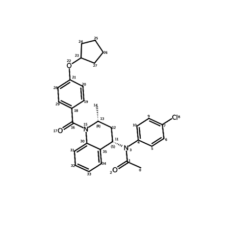 CC(=O)N(c1ccc(Cl)cc1)[C@H]1C[C@@H](C)N(C(=O)c2ccc(OC3CCCC3)cc2)c2ccccc21